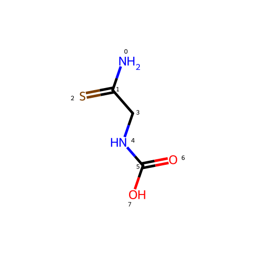 NC(=S)CNC(=O)O